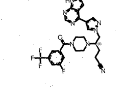 N#CCC[C@H](Cn1cc(-c2ncnc3[nH]ccc23)cn1)N1CCN(C(=O)c2cc(F)cc(C(F)(F)F)c2)CC1